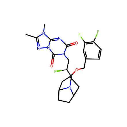 Cc1nn2c(=O)n(C[C@H](F)CN3C4CCC3CC(OCc3ccc(F)c(F)c3)C4)c(=O)nc2n1C